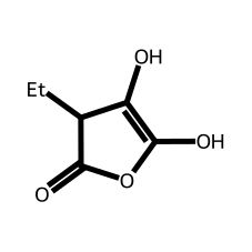 CCC1C(=O)OC(O)=C1O